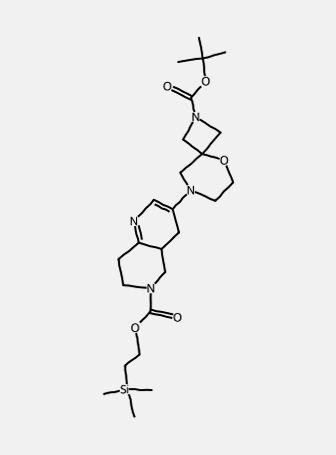 CC(C)(C)OC(=O)N1CC2(C1)CN(C1=CN=C3CCN(C(=O)OCC[Si](C)(C)C)CC3C1)CCO2